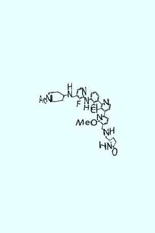 COc1nc(-c2ccnc(-c3cccc(Nc4nccc(CNC5CCN(C(C)=O)CC5)c4F)c3Cl)c2Cl)ccc1CNCC1CCC(=O)N1